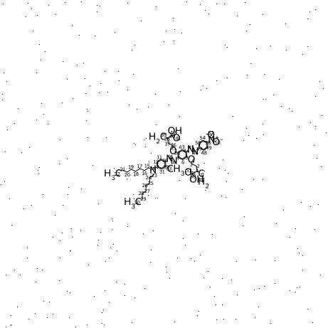 C=C(CCOc1cc(N=Nc2ccc(N(CCCCCCCC)CCCCCCCC)cc2C)c(OCCC(=C)C(=O)O)cc1N=Nc1ccc([N+](=O)[O-])cc1)C(=O)O